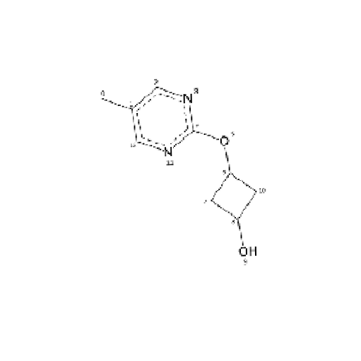 Cc1cnc(OC2CC(O)C2)nc1